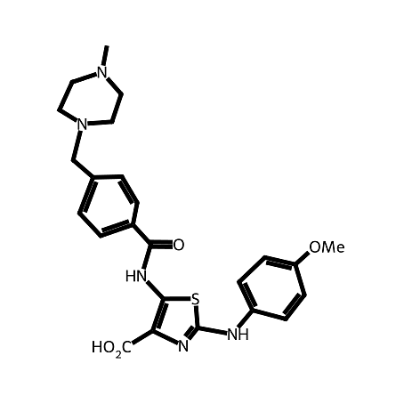 COc1ccc(Nc2nc(C(=O)O)c(NC(=O)c3ccc(CN4CCN(C)CC4)cc3)s2)cc1